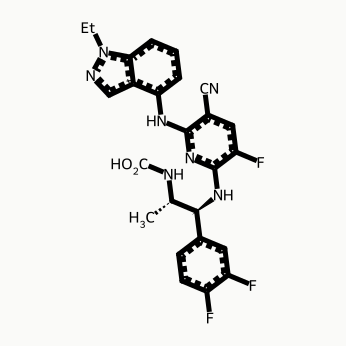 CCn1ncc2c(Nc3nc(N[C@@H](c4ccc(F)c(F)c4)[C@H](C)NC(=O)O)c(F)cc3C#N)cccc21